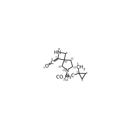 CC1(C)CC1.O=C=C1NCC12CCN(C(=O)O)C2